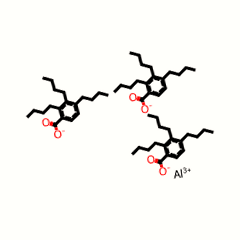 CCCCc1ccc(C(=O)[O-])c(CCCC)c1CCCC.CCCCc1ccc(C(=O)[O-])c(CCCC)c1CCCC.CCCCc1ccc(C(=O)[O-])c(CCCC)c1CCCC.[Al+3]